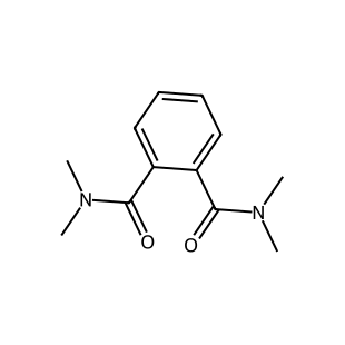 CN(C)C(=O)c1ccccc1C(=O)N(C)C